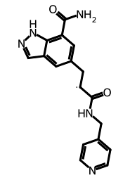 NC(=O)c1cc(C[CH]C(=O)NCc2ccncc2)cc2cn[nH]c12